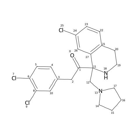 O=C(Cc1ccc(Cl)c(Cl)c1)C1(CN2CCCC2)NCCc2ccc(Cl)cc21